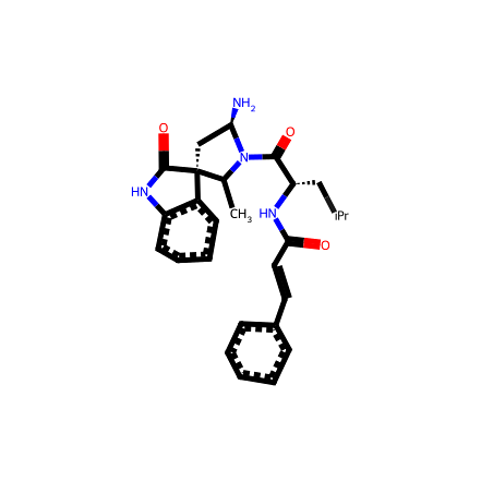 CC(C)C[C@H](NC(=O)/C=C/c1ccccc1)C(=O)N1C(C)[C@]2(C[C@H]1N)C(=O)Nc1ccccc12